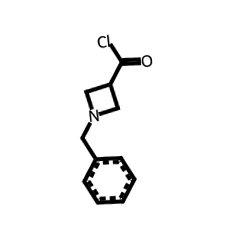 O=C(Cl)C1CN(Cc2ccccc2)C1